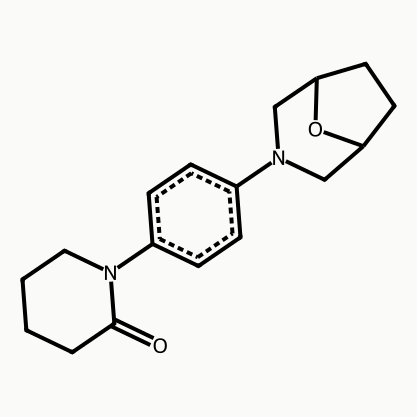 O=C1CCCCN1c1ccc(N2CC3CCC(C2)O3)cc1